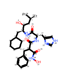 CC[C@@H](C[C@H](O)[C@H](CC1CCCCC1)NC(=O)[C@H](Cc1c[nH]cn1)NC(=O)C(Cc1ccccc1)C(=O)NO)C(C)C